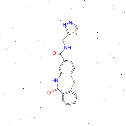 O=C(NCc1nncs1)c1ccc2c(c1)NC(=O)c1ccccc1S2